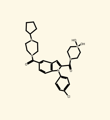 O=C(c1ccc2c(c1)cc(C(=O)N1CCS(O)(O)CC1)n2-c1ccc(Cl)cc1)N1CCN(C2CCCC2)CC1